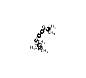 Cc1nc2nc(C)c(O[C@@H]3CCN(c4ccc(C5CCC(C(=O)N6C[C@@H](C)O[C@H](C)C6)CC5)cc4)C3)c(C)n2n1